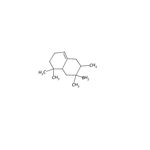 BC1(C)CC2C(=CCCC2(C)C)CC1C